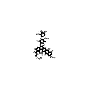 CNC1C(C)OC(OC2c3cc(C)c(C(=O)NCC(=O)O)c(O)c3-c3c(cc4c(c3O)C(=O)c3cc(OC)cc(O)c3C4=O)C2O)C(O)C1OC1OCC(O)C(O)C1O